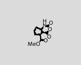 COC(=O)c1cccc2[nH]c(=O)oc(=O)c12